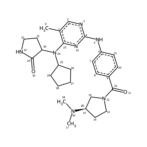 Cc1cnc(Nc2ccc(C(=O)N3CC[C@@H](N(C)C)C3)cc2)nc1N(C1CCCC1)C1CCNC1=O